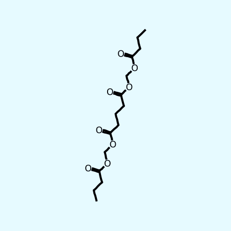 CCCC(=O)OCOC(=O)CCCC(=O)OCOC(=O)CCC